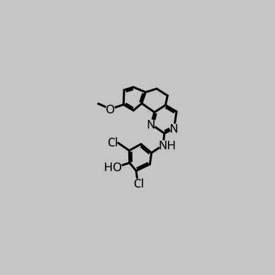 COc1ccc2c(c1)-c1nc(Nc3cc(Cl)c(O)c(Cl)c3)ncc1CC2